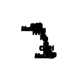 COC(=O)N[C@H]1CCc2ccn3c2C1C(=O)C[C@H](c1ncc(-c2cnc4cc(-c5ccc(-c6[nH]c([C@@H]7CCCN7C(=O)[C@@H](OC)C(C)CN=C=O)nc6Cl)cc5)ccc4c2)[nH]1)C3